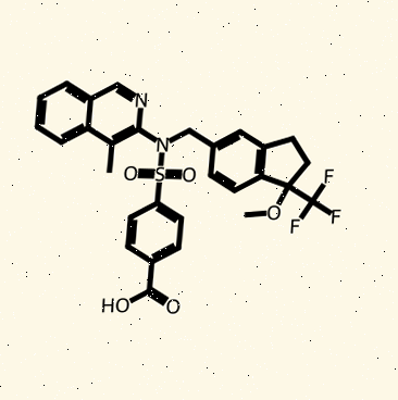 COC1(C(F)(F)F)CCc2cc(CN(c3ncc4ccccc4c3C)S(=O)(=O)c3ccc(C(=O)O)cc3)ccc21